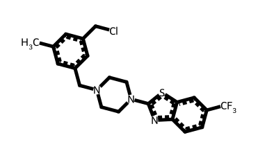 Cc1cc(CCl)cc(CN2CCN(c3nc4ccc(C(F)(F)F)cc4s3)CC2)c1